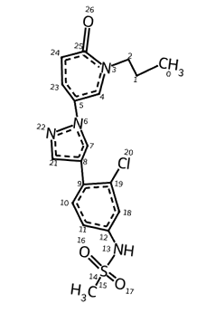 CCCn1cc(-n2cc(-c3ccc(NS(C)(=O)=O)cc3Cl)cn2)ccc1=O